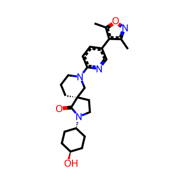 Cc1noc(C)c1-c1ccc(N2CCC[C@@]3(CCN([C@H]4CC[C@H](O)CC4)C3=O)C2)nc1